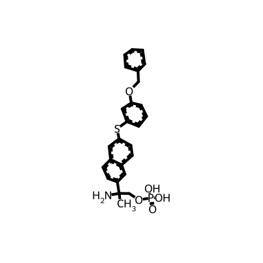 CC(N)(COP(=O)(O)O)c1ccc2cc(Sc3cccc(OCc4ccccc4)c3)ccc2c1